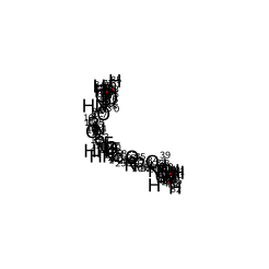 CC(C)CC(NC(=O)Cc1ccc2oc(-c3ccc(NC(=O)Nc4ccc(-c5nc6cc(CC(=O)NC(CC(C)C)B7O[C@@H]8[C@@H]9C[C@H](C[C@]8(C)O7)C9(C)C)ccc6o5)cc4F)c(F)c3)nc2c1)B1O[C@H]2[C@H]3C[C@@H](C[C@@]2(C)O1)C3(C)C